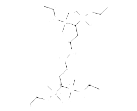 CCO[Si](C)(C)C(CCSSCCC([Si](C)(C)OCC)[Si](C)(C)OCC)[Si](C)(C)OCC